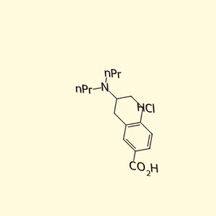 CCCN(CCC)C1CCc2ccc(C(=O)O)cc2C1.Cl